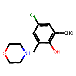 C1COCCN1.Cc1cc(Cl)cc(C=O)c1O